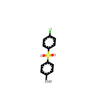 O=Cc1ccc(S(=O)(=O)c2ccc(Cl)cc2)cc1